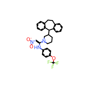 O=[N+]([O-])C=C(Nc1ccc(OC(F)(F)F)cc1)N1CCCC(C2c3ccccc3CCc3ccccc32)C1